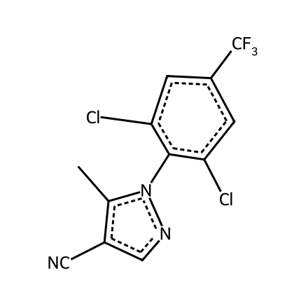 Cc1c(C#N)cnn1-c1c(Cl)cc(C(F)(F)F)cc1Cl